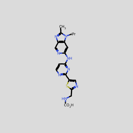 Cc1nc2cnc(Nc3ccnc(-c4cnc(CNC(=O)O)s4)n3)cc2n1C(C)C